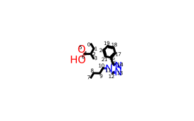 CCC(C)C(=O)O.CCCCn1cnnc1-c1ccccc1